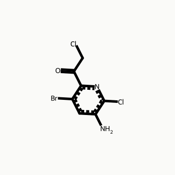 Nc1cc(Br)c(C(=O)CCl)nc1Cl